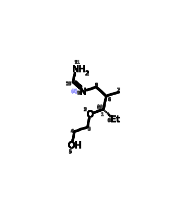 CC[C@H](OCCO)C(C)C/N=C\N